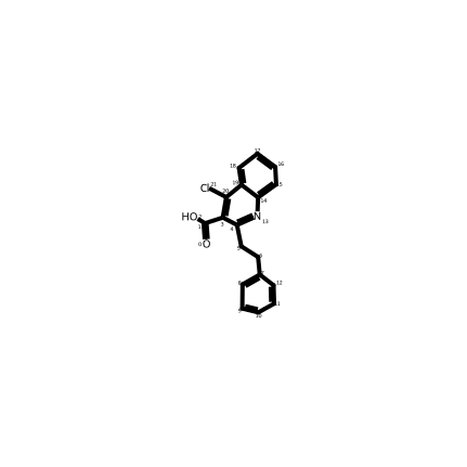 O=C(O)c1c(CCc2ccccc2)nc2ccccc2c1Cl